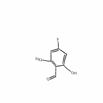 O=Cc1c(O)cc(F)cc1O